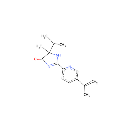 C=C(C)c1ccc(C2=NC(=O)C(C)(C(C)C)N2)nc1